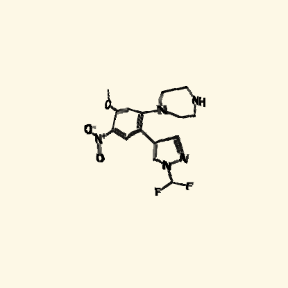 COc1cc(N2CCNCC2)c(-c2cnn(C(F)F)c2)cc1[N+](=O)[O-]